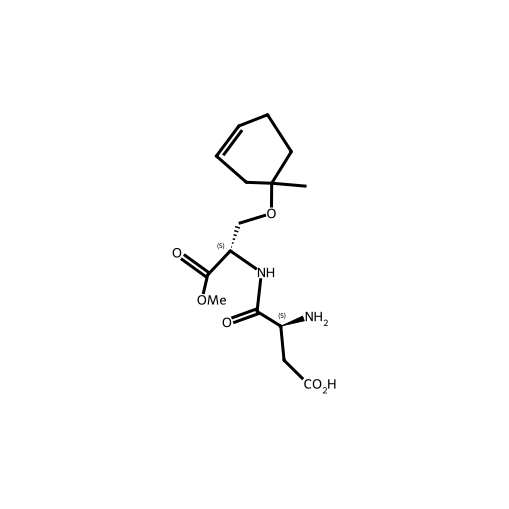 COC(=O)[C@H](COC1(C)CC=CCC1)NC(=O)[C@@H](N)CC(=O)O